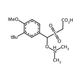 COc1ccc(C(O[SiH](C)C)S(=O)(=O)CC(=O)O)cc1C(C)(C)C